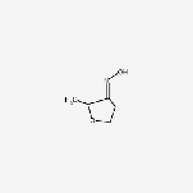 CC1OCCC1=NO